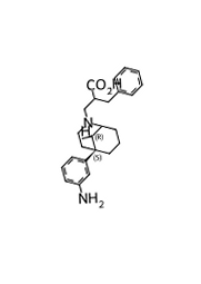 C[C@H]1C2CCC[C@]1(c1cccc(N)c1)CCN2CC(Cc1ccccc1)C(=O)O